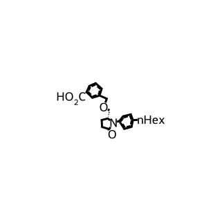 CCCCCCc1ccc(N2C(=O)CC[C@@H]2COCc2cccc(C(=O)O)c2)cc1